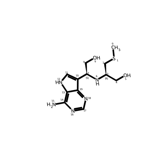 CSC[C@@H](CO)N[C@H](CO)c1c[nH]c2c(N)ncnc12